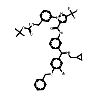 CC(C)(C)OC(=O)NCc1cccc(-n2nc(C(F)(F)F)cc2C(=O)Nc2cccc(C(NCC3CC3)c3ccc(OCc4ccccc4)c(Br)c3)c2)c1